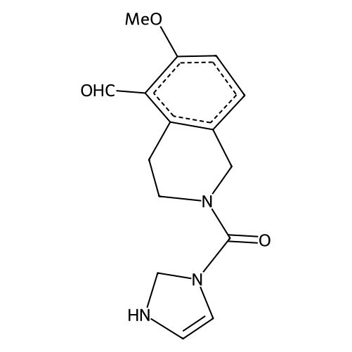 COc1ccc2c(c1C=O)CCN(C(=O)N1C=CNC1)C2